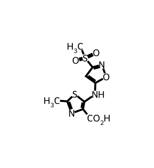 Cc1nc(C(=O)O)c(Nc2cc(S(C)(=O)=O)no2)s1